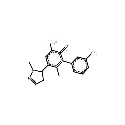 Cc1c(C2CC=NN2C)cc(C(=O)O)c(=O)n1-c1cccc(C(F)(F)F)c1